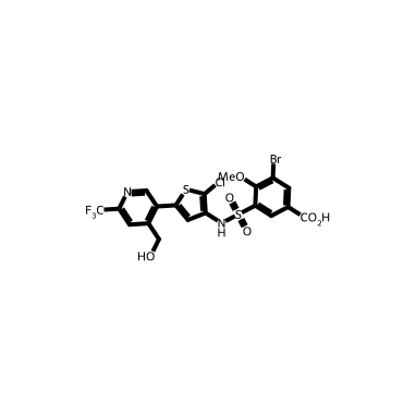 COc1c(Br)cc(C(=O)O)cc1S(=O)(=O)Nc1cc(-c2cnc(C(F)(F)F)cc2CO)sc1Cl